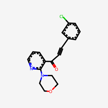 O=C(C#Cc1cccc(Cl)c1)c1cccnc1N1CCOCC1